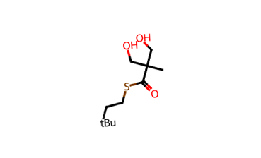 CC(C)(C)CCSC(=O)C(C)(CO)CO